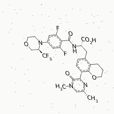 Cc1cn(C)c(=O)c(-c2ccc(C[C@H](NC(=O)c3c(F)cc(N4CCOC[C@@H]4C(F)(F)F)cc3F)C(=O)O)c3c2OCCC3)n1